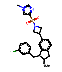 CNC1Cc2ccc(C3CN(S(=O)(=O)c4cn(C)cn4)C3)cc2C1Cc1cccc(Cl)c1